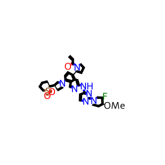 C=CC(=O)N1CCC[C@H]1c1ccc(N2CC[C@@H]([C@@H]3CCCCS3(=O)=O)C2)c2cnc(Nc3ccnc(N4CC[C@@H](OC)[C@@H](F)C4)n3)cc12